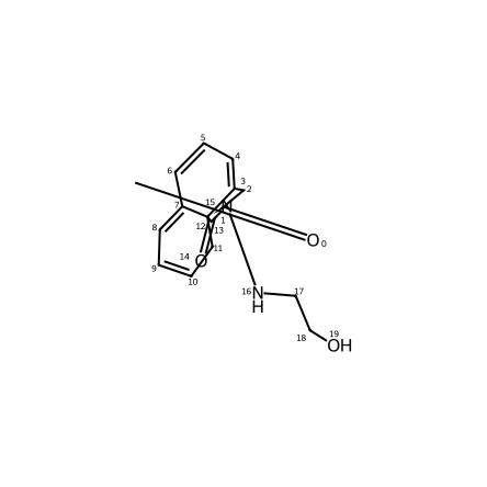 O=C1CC2=CC=CC3=CC=CCC32C(=O)N1NCCO